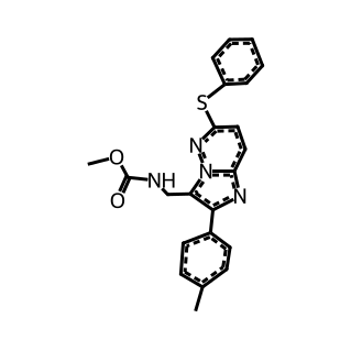 COC(=O)NCc1c(-c2ccc(C)cc2)nc2ccc(Sc3ccccc3)nn12